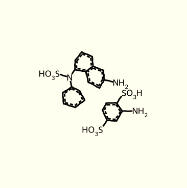 Nc1cc(S(=O)(=O)O)ccc1S(=O)(=O)O.Nc1ccc2c(N(c3ccccc3)S(=O)(=O)O)cccc2c1